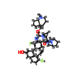 C#Cc1c(F)ccc2cc(O)cc(-c3ccc4c(N5CC6CCC(C5)N6C(=O)C5CC5)nc(OCC56CCCC5N(C)CCC6)nc4c3F)c12